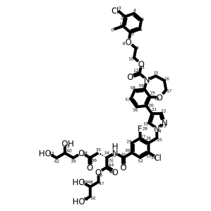 Cc1c(Cl)cccc1OCCOC(=O)N1CCCOc2c(-c3cnn(Cc4c(F)cc(C(=O)N[C@@H](CC(=O)OCC(O)CO)C(=O)OCC(O)CO)cc4Cl)c3)cccc21